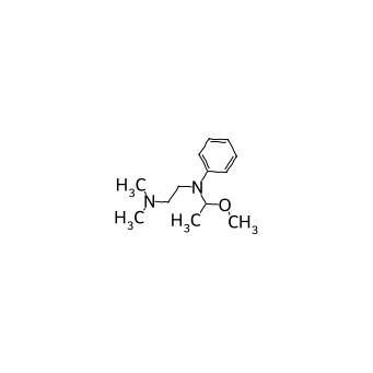 COC(C)N(CCN(C)C)c1ccccc1